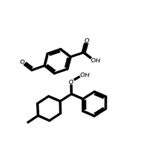 CC1CCC(C(OO)c2ccccc2)CC1.O=Cc1ccc(C(=O)O)cc1